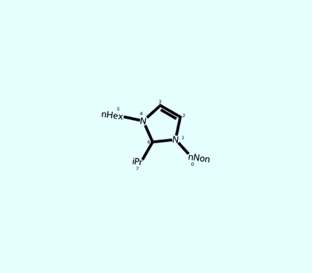 CCCCCCCCCN1C=CN(CCCCCC)C1C(C)C